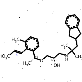 Cc1cccc([C@@H](C)OC[C@@H](O)CNC(C)(C)CC2Cc3ccccc3C2)c1/C=C/C(=O)O